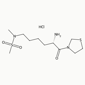 CN(CCCC[C@H](N)C(=O)N1CCSC1)S(C)(=O)=O.Cl